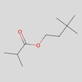 CC(C)C(=O)OCCC(C)(C)C